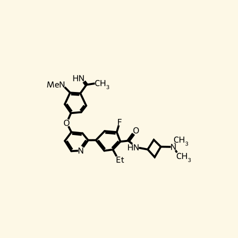 CCc1cc(-c2cc(Oc3ccc(C(C)=N)c(NC)c3)ccn2)cc(F)c1C(=O)NC1CC(N(C)C)C1